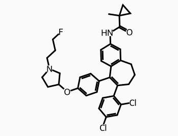 CC1(C(=O)Nc2ccc3c(c2)CCCC(c2ccc(Cl)cc2Cl)=C3c2ccc(OC3CCN(CCCF)C3)cc2)CC1